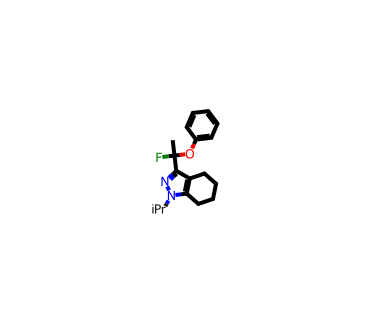 CC(C)n1nc(C(C)(F)Oc2ccccc2)c2c1CCCC2